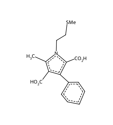 CSCCn1c(C)c(C(=O)O)c(-c2ccccc2)c1C(=O)O